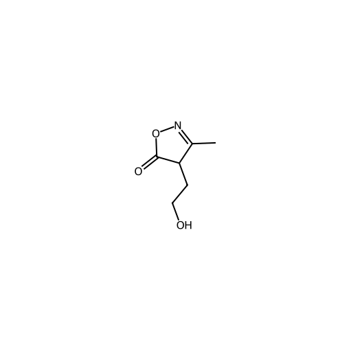 CC1=NOC(=O)C1CCO